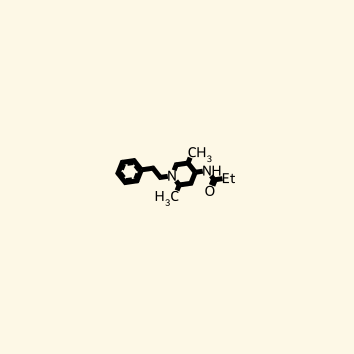 CCC(=O)NC1CC(C)N(CCc2ccccc2)CC1C